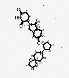 O=C1CCC(N2Cc3cc(O[C@@H]4CCC[C@H]4N4CCC5(CC4)OCCO5)ccc3C2=O)C(=O)N1